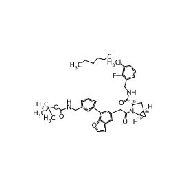 CC(C)(C)OC(=O)NCc1cccc(-c2cc(CC(=O)N3[C@@H]4C[C@@H]4C[C@H]3C(=O)NCc3cccc(Cl)c3F)cc3ccoc23)c1.CCCCCC